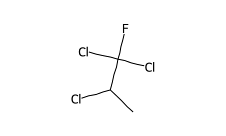 CC(Cl)C(F)(Cl)Cl